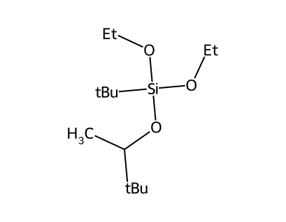 CCO[Si](OCC)(OC(C)C(C)(C)C)C(C)(C)C